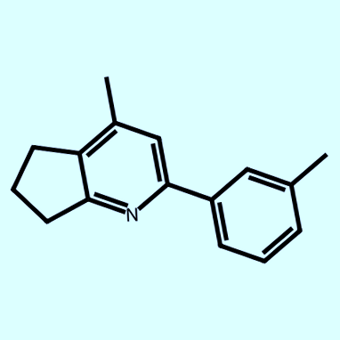 Cc1cccc(-c2cc(C)c3c(n2)CCC3)c1